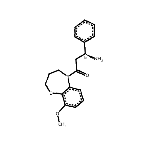 COc1cccc2c1OCCCN2C(=O)C[C@H](N)c1ccccc1